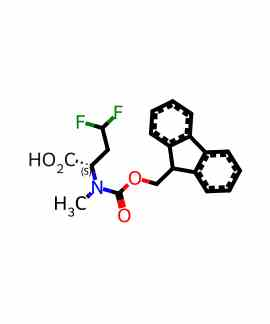 CN(C(=O)OCC1c2ccccc2-c2ccccc21)[C@@H](CC(F)F)C(=O)O